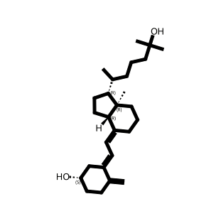 C=C1CC[C@H](O)CC1=CC=C1CCC[C@]2(C)[C@@H](C(C)CCCC(C)(C)O)CC[C@@H]12